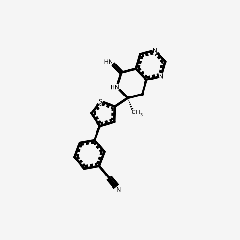 C[C@@]1(c2cc(-c3cccc(C#N)c3)cs2)Cc2ncncc2C(=N)N1